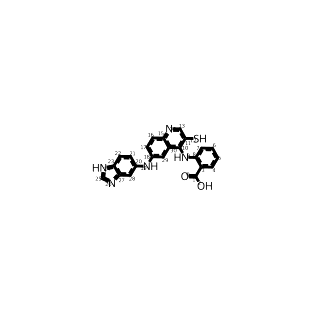 O=C(O)c1ccccc1Nc1c(S)cnc2ccc(Nc3ccc4[nH]cnc4c3)cc12